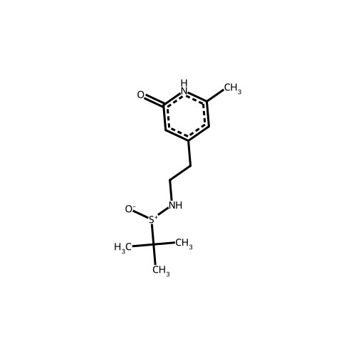 Cc1cc(CCN[S+]([O-])C(C)(C)C)cc(=O)[nH]1